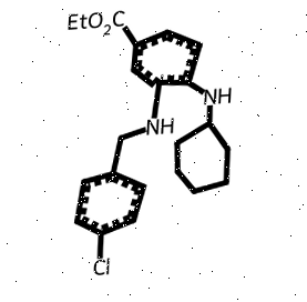 CCOC(=O)c1ccc(NC2CCCCC2)c(NCc2ccc(Cl)cc2)c1